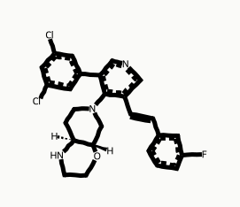 Fc1cccc(/C=C/c2cncc(-c3cc(Cl)cc(Cl)c3)c2N2CC[C@@H]3NCCO[C@H]3C2)c1